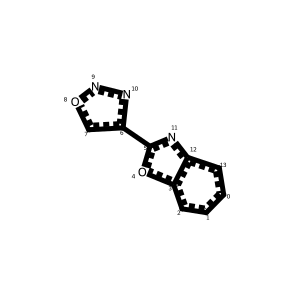 c1ccc2oc(-c3conn3)nc2c1